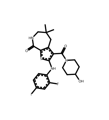 CC1(C)CNC(=O)c2sc(Nc3ccc(I)cc3F)c(C(=O)N3CCC(O)CC3)c2C1